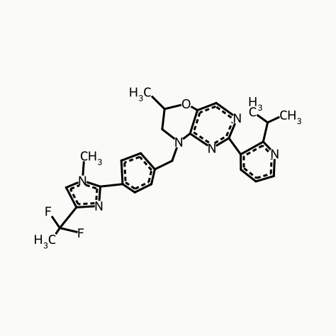 CC1CN(Cc2ccc(-c3nc(C(C)(F)F)cn3C)cc2)c2nc(-c3cccnc3C(C)C)ncc2O1